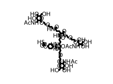 CC(=O)N/C(=C(\O)CO)C(O)OCCOCCNC(=O)C(CCC(=O)NCCOCCOC1OC(CO)C(O)C(O)C1NC(C)=O)NC(=O)CCC(NC(=O)[C@H]1CC[C@@H](OP(C)(=O)S)CC1)C(=O)NCCOCCOC1OC(CO)C(O)C(O)C1NC(C)=O